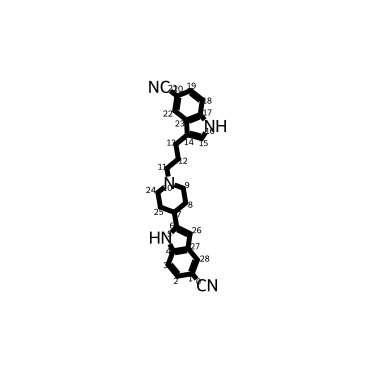 N#Cc1ccc2[nH]c(C3CCN(CCCc4c[nH]c5ccc(C#N)cc45)CC3)cc2c1